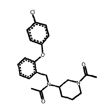 CC(=O)N1CCCC(N(Cc2ccccc2Oc2ccc(Cl)cc2)C(C)=O)C1